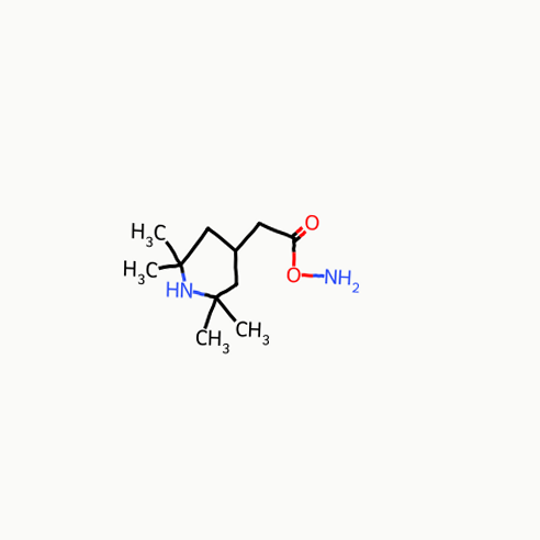 CC1(C)CC(CC(=O)ON)CC(C)(C)N1